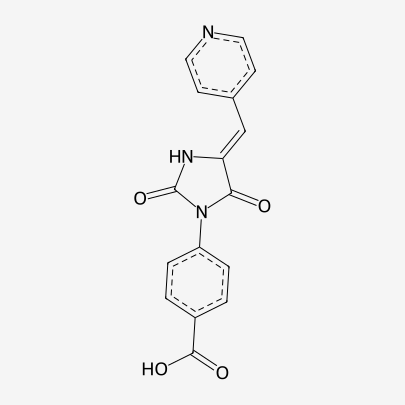 O=C(O)c1ccc(N2C(=O)N/C(=C\c3ccncc3)C2=O)cc1